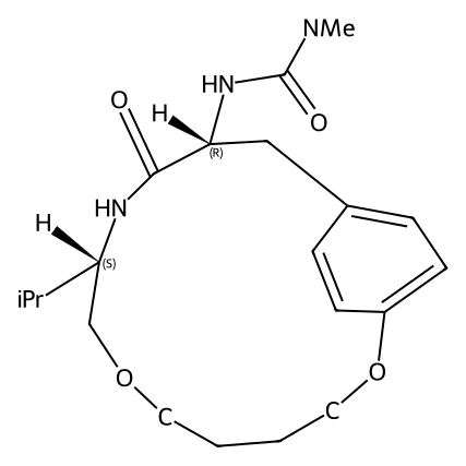 CNC(=O)N[C@@H]1Cc2ccc(cc2)OCCCCOC[C@H](C(C)C)NC1=O